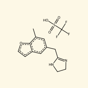 Cc1cc(CC2=NCCN2)cc2ccoc12.O=S(=O)(O)C(F)(F)F